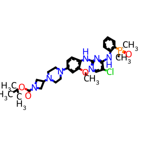 COc1cc(N2CCN(C3CN(C(=O)OC(C)(C)C)C3)CC2)ccc1Nc1ncc(Cl)c(Nc2ccccc2P(C)(C)=O)n1